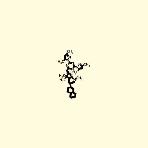 Cc1cc(C)n(-c2nc(/C=C3\N=C4C(=CC(c5ccc6ccccc6c5)=CN4C)C3(C)C)nc(-n3nc(C)cc3C)n2)n1